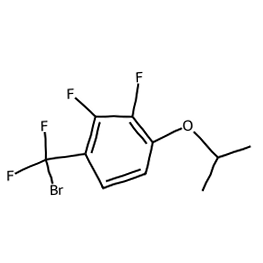 CC(C)Oc1ccc(C(F)(F)Br)c(F)c1F